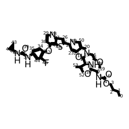 CCCCOC(=O)NCC(=O)N[C@H](C(=O)N(CCOC)Cc1ccc(-c2cc3nccc(Oc4ccc(NC(=O)NC5CC5)cc4F)c3s2)nc1)C(C)C